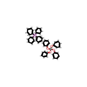 c1ccc(O[B-](Oc2ccccc2)(Oc2ccccc2)Oc2ccccc2)cc1.c1ccc([P+](c2ccccc2)(c2ccccc2)c2ccccc2)cc1